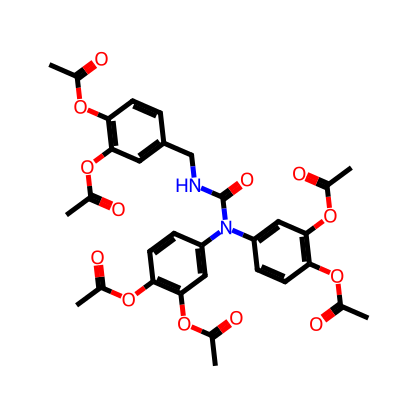 CC(=O)Oc1ccc(CNC(=O)N(c2ccc(OC(C)=O)c(OC(C)=O)c2)c2ccc(OC(C)=O)c(OC(C)=O)c2)cc1OC(C)=O